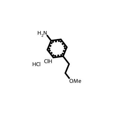 COCCc1ccc(N)cc1.Cl.Cl